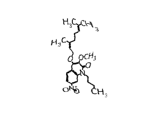 CCCCn1c(=O)c(OC)c(OCC=C(C)CCC=C(C)C)c2ccc([N+](=O)[O-])cc21